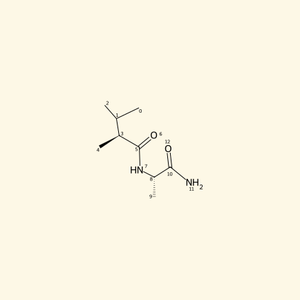 CC(C)[C@H](C)C(=O)N[C@@H](C)C(N)=O